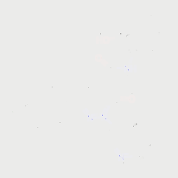 O=C(N[C@H]1CCCC[C@H]1O)c1cc(-c2ccc(Cl)cc2)nn(-c2cncc(F)c2)c1=O